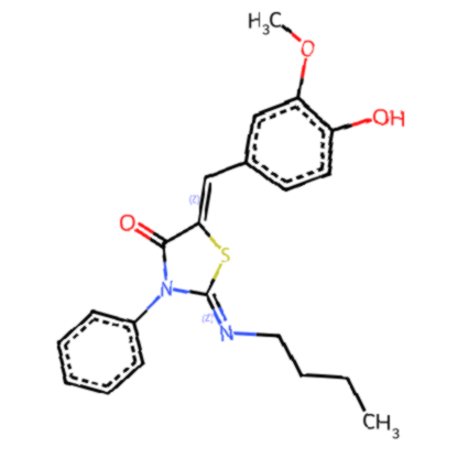 CCCC/N=C1\S/C(=C\c2ccc(O)c(OC)c2)C(=O)N1c1ccccc1